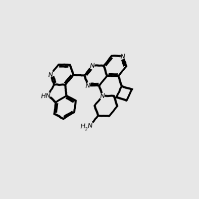 NC1CCCN(c2nc(-c3ccnc4[nH]c5ccccc5c34)nc3cncc(C4CCC4)c23)C1